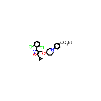 CCOC(=O)c1ccc(N2CCCC(OCc3c(-c4c(Cl)cccc4Cl)noc3C3CC3)CC2)cc1